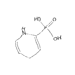 O=P(O)(O)C1=CCC=CN1